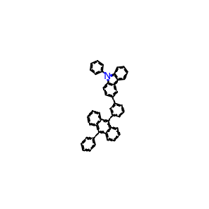 c1ccc(-c2c3ccccc3c(-c3cccc(-c4ccc5c(c4)c4ccccc4n5-c4ccccc4)c3)c3ccccc23)cc1